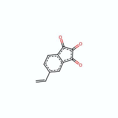 C=Cc1ccc2c(=O)c(=O)c(=O)c2c1